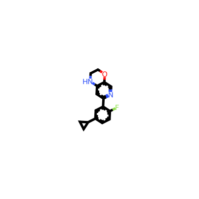 Fc1ccc(C2CC2)cc1-c1cc2c(cn1)OCCN2